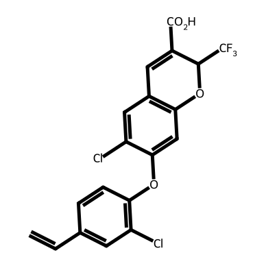 C=Cc1ccc(Oc2cc3c(cc2Cl)C=C(C(=O)O)C(C(F)(F)F)O3)c(Cl)c1